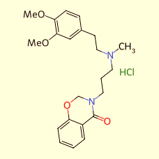 COc1ccc(CCN(C)CCCN2COc3ccccc3C2=O)cc1OC.Cl